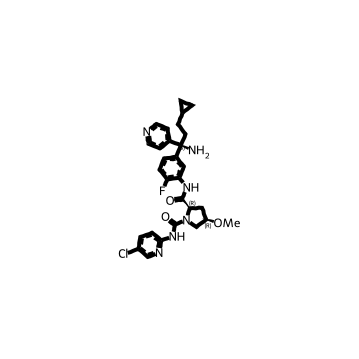 CO[C@@H]1C[C@H](C(=O)Nc2cc([C@@](N)(CCC3CC3)c3ccncc3)ccc2F)N(C(=O)Nc2ccc(Cl)cn2)C1